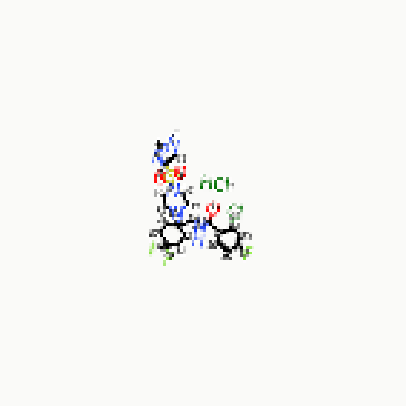 Cl.Cn1cnc(S(=O)(=O)N2CCN(C3(CNC(=O)c4ccc(F)cc4Cl)CCC(F)(F)CC3)CC2)c1